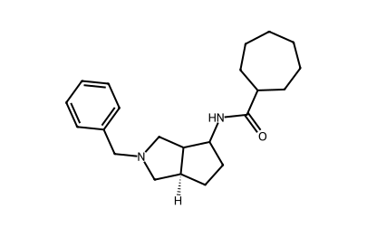 O=C(NC1CC[C@H]2CN(Cc3ccccc3)CC12)C1CCCCCC1